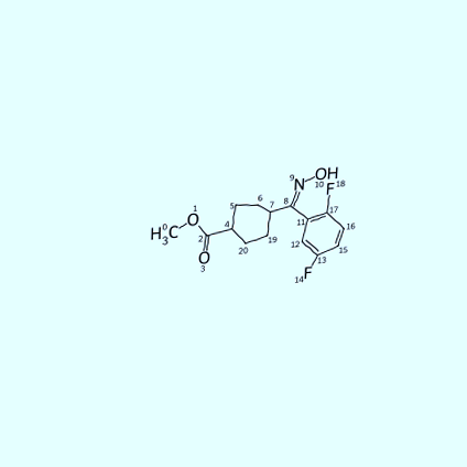 COC(=O)C1CCC(/C(=N/O)c2cc(F)ccc2F)CC1